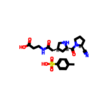 Cc1ccc(S(=O)(=O)O)cc1.N#C[C@@H]1CCCN1C(=O)[C@@H]1C[C@H](CC(=O)NCCC(=O)O)CN1